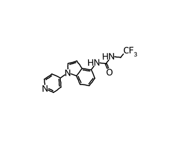 O=C(NCC(F)(F)F)Nc1cccc2c1ccn2-c1ccncc1